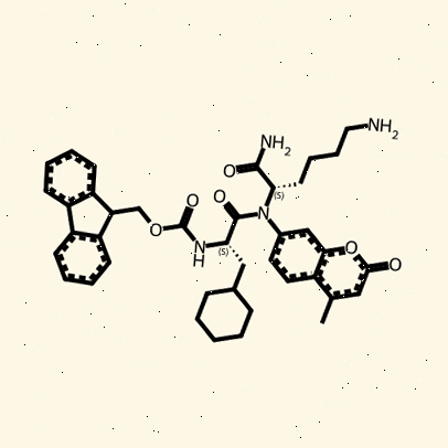 Cc1cc(=O)oc2cc(N(C(=O)[C@H](CC3CCCCC3)NC(=O)OCC3c4ccccc4-c4ccccc43)[C@@H](CCCCN)C(N)=O)ccc12